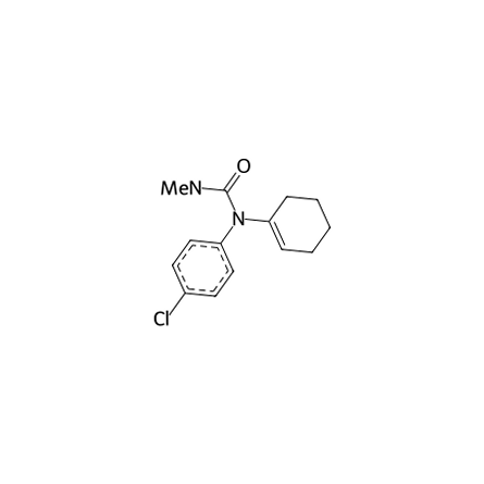 CNC(=O)N(C1=CCCCC1)c1ccc(Cl)cc1